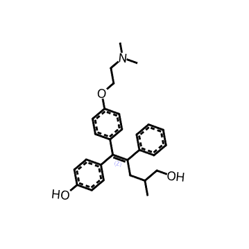 CC(CO)C/C(=C(\c1ccc(O)cc1)c1ccc(OCCN(C)C)cc1)c1ccccc1